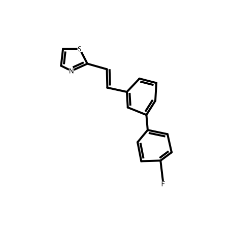 Fc1ccc(-c2cccc(C=Cc3nccs3)c2)cc1